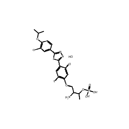 CC(C)Oc1ccc(-c2nnc(-c3cc(F)c(OCC(N)C(C)OP(=O)(O)O)cc3Cl)s2)cc1Cl.Cl